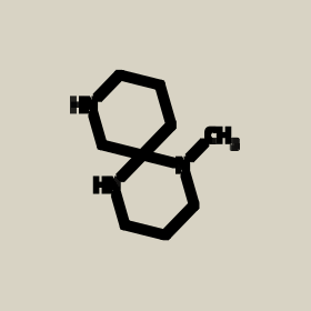 CN1CCCNC12CCCNC2